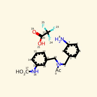 CC(=O)N(Cc1cccc(N)c1)Cc1cccc(NC(=O)O)c1.O=C(O)C(F)(F)F